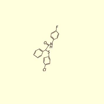 O=C(Nc1ccc(F)cc1)C(Sc1ccc(Cl)cc1)c1ccccc1